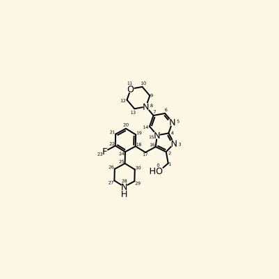 OCc1nc2ncc(N3CCOCC3)cn2c1Cc1cccc(F)c1C1CCNCC1